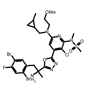 COCCN(CC1CC1C)c1cc(-c2nnc(C(C)(N)Cc3cc(Br)c(F)cc3Br)o2)c(Cl)c(N(C)S(C)(=O)=O)n1